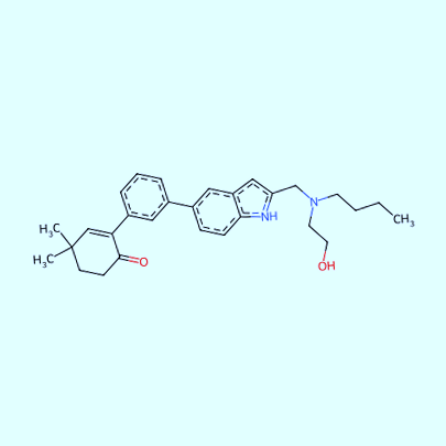 CCCCN(CCO)Cc1cc2cc(-c3cccc(C4=CC(C)(C)CCC4=O)c3)ccc2[nH]1